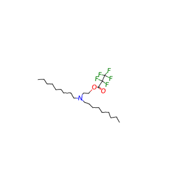 CCCCCCCCCN(CCCCCCCCC)CCOC(=O)C(F)(F)C(F)(F)F